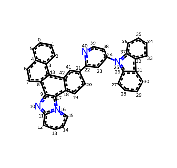 c1ccc2c(c1)ccc1c3nc4ccccn4c3c3ccc(-c4cc(-n5c6ccccc6c6ccccc65)ccn4)cc3c21